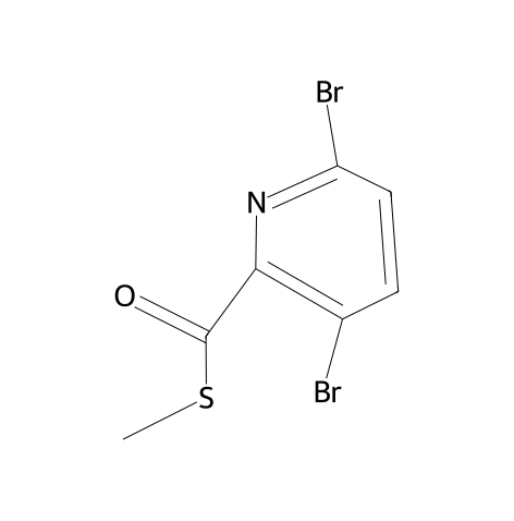 CSC(=O)c1nc(Br)ccc1Br